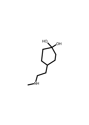 CNCCC1CCC(O)(O)CC1